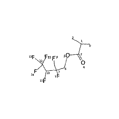 CC(C)C(=O)OCC(F)(F)C(F)C(F)(F)F